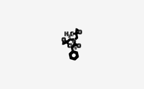 CC1(CN(CC2(C)CO2)C(=O)Cc2ccccc2)CO1